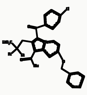 CCOC(=O)C(CC)(CC)Cc1c(C(=O)C(C)(C)C)c2cc(OCc3ccccc3)ccn2c1C(=O)c1ccc(Cl)cc1